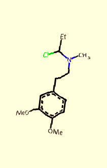 CCC(Cl)N(C)CCc1ccc(OC)c(OC)c1